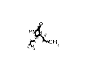 CCC[C@@H]1NC(=O)[C@H]1CCC